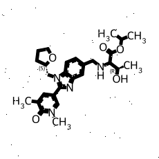 Cc1cc(-c2nc3cc(CNC(C(=O)OC(C)C)[C@@H](C)O)ccc3n2C[C@@H]2CCCO2)cn(C)c1=O